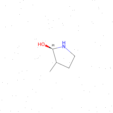 CC1CCN[C@@H]1O